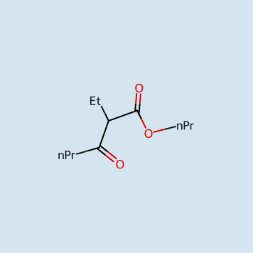 CCCOC(=O)C(CC)C(=O)CCC